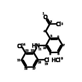 Cl.O=C(Cl)Cc1ccccc1Nc1c(Cl)cccc1Cl